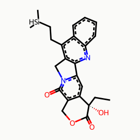 CC[C@@]1(O)C(=O)OCc2c1cc1n(c2=O)Cc2c-1nc1ccccc1c2CC[SiH](C)C